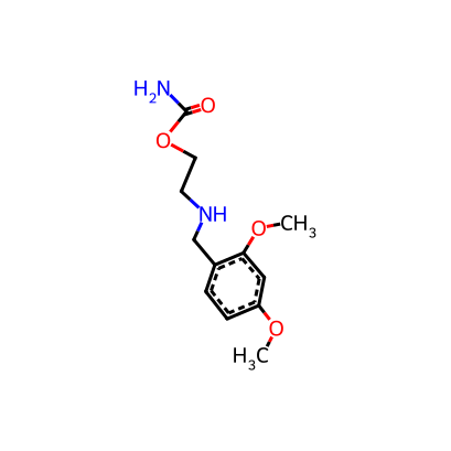 COc1ccc(CNCCOC(N)=O)c(OC)c1